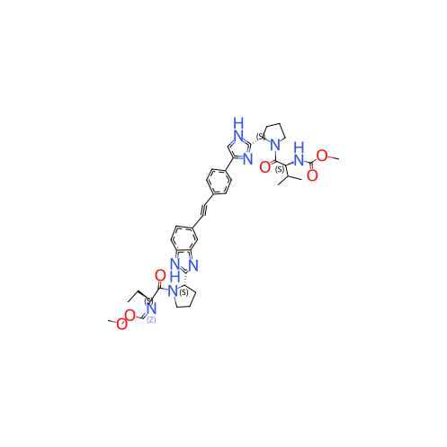 CC[C@H](/N=C\OOC)C(=O)N1CCC[C@H]1c1nc2cc(C#Cc3ccc(-c4c[nH]c([C@@H]5CCCN5C(=O)[C@@H](NC(=O)OC)C(C)C)n4)cc3)ccc2[nH]1